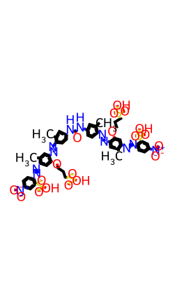 Cc1cc(NC(=O)Nc2ccc(N=Nc3cc(C)c(N=Nc4ccc([N+](=O)[O-])cc4S(=O)(=O)O)cc3OCCCS(=O)(=O)O)c(C)c2)ccc1N=Nc1cc(C)c(N=Nc2ccc([N+](=O)[O-])cc2S(=O)(=O)O)cc1OCCCS(=O)(=O)O